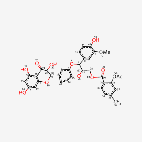 COc1cc(C2Oc3cc([C@@H]4Oc5cc(O)cc(O)c5C(=O)C4O)ccc3O[C@H]2COC(=O)c2ccc(C(F)(F)F)cc2OC(C)=O)ccc1O